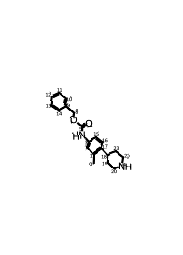 Cc1cc(NC(=O)OCc2ccccc2)ccc1C1CCNCC1